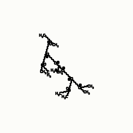 CCCCCCC(CCCC)OC(=O)CCCCCCCC(CCCCCCCC(=O)OC(CCCC)CCCCCC)OC(=O)CCCCCCCOC(=O)CCN(CCC(=O)OCCCCCCCC(=O)OC(CCCCCCC(=O)OC(CCCC)CCCCCC)CCCCCCC(=O)OC(CCCC)CCCCCC)CCN(C)C